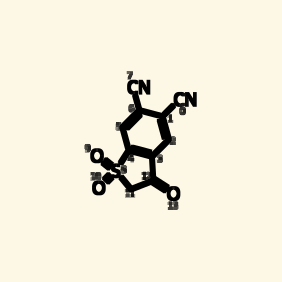 N#Cc1cc2c(cc1C#N)S(=O)(=O)CC2=O